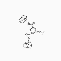 O=C(OCC12CC3CC(CC(C3)C1)C2)c1cc(C(=O)OCC23CC4CC(CC(C4)C2)C3)cc(S(=O)(=O)O)c1